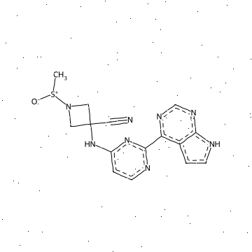 C[S+]([O-])N1CC(C#N)(Nc2ccnc(-c3ncnc4[nH]ccc34)n2)C1